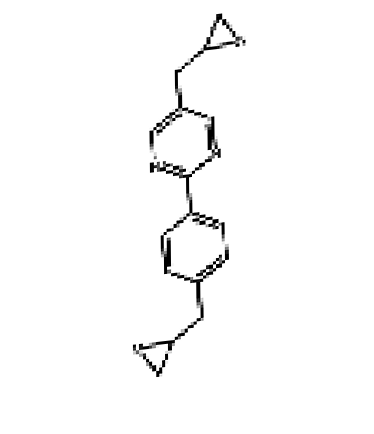 c1cc(-c2ncc(CC3CO3)cn2)ccc1CC1CO1